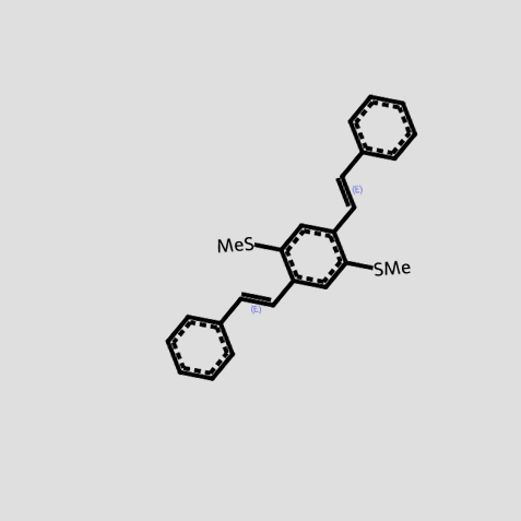 CSc1cc(/C=C/c2ccccc2)c(SC)cc1/C=C/c1ccccc1